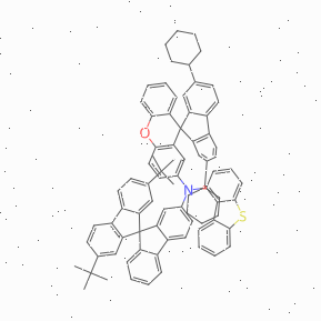 CC(C)(C)c1ccc2c(c1)C1(c3ccccc3-c3ccc(N(c4ccc5c(c4)C4(c6ccccc6O5)c5cc(C6CCCCC6)ccc5-c5ccc(C6CCCCC6)cc54)c4cccc5sc6ccccc6c45)cc31)c1cc(C(C)(C)C)ccc1-2